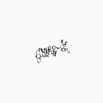 CC(CC(F)(F)F)[C@@H]1COc2c([S@@](N)(=O)=NC(=O)Nc3c4c(cc5c3CCC5)CCC4)cnn2C1